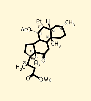 CC[C@H]1[C@@H](OC(C)=O)C2C3CC[C@H]([C@H](C)CC(=O)OC)[C@@]3(C)C(=O)CC2[C@@]2(C)CC[C@@H](C)C[C@@H]12